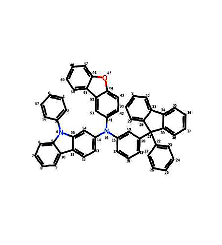 c1ccc(-n2c3ccccc3c3ccc(N(c4cccc(C5(c6ccccc6)c6ccccc6-c6ccccc65)c4)c4ccc5oc6ccccc6c5c4)cc32)cc1